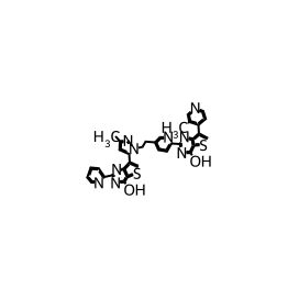 Cc1cc(-c2csc3c(O)nc(-c4ccccn4)nc23)n(CCc2ccc(-c3nc(O)c4scc(-c5ccncc5C)c4n3)nc2)n1